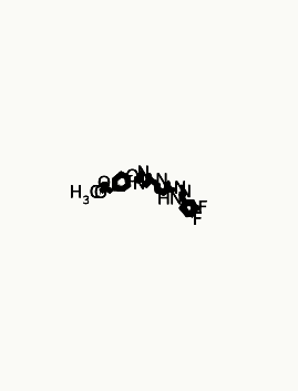 COC(=O)C[C@H]1CC[C@H](Oc2ncc(-c3ccc(-c4nnc(-c5ccc(F)c(F)c5)[nH]4)cn3)cn2)CC1